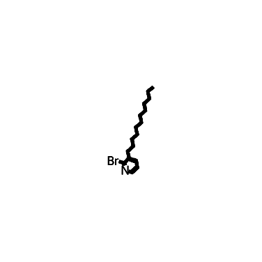 CCCCCCCCCCCCc1cccnc1Br